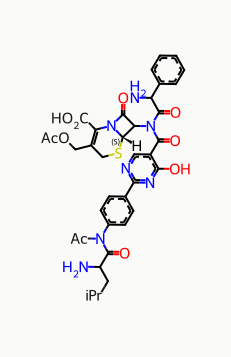 CC(=O)OCC1=C(C(=O)O)N2C(=O)C(N(C(=O)c3cnc(-c4ccc(N(C(C)=O)C(=O)C(N)CC(C)C)cc4)nc3O)C(=O)C(N)c3ccccc3)[C@@H]2SC1